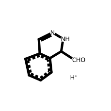 O=CC1NN=Cc2ccccc21.[H+]